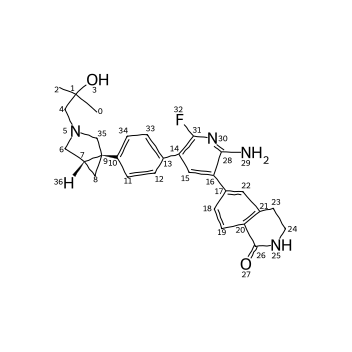 CC(C)(O)CN1C[C@H]2C[C@@]2(c2ccc(-c3cc(-c4ccc5c(c4)CCNC5=O)c(N)nc3F)cc2)C1